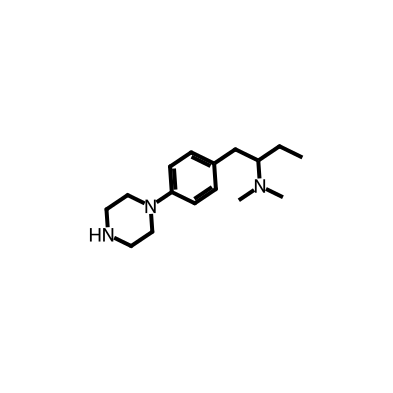 CCC(Cc1ccc(N2CCNCC2)cc1)N(C)C